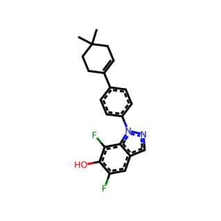 CC1(C)CC=C(c2ccc(-n3ncc4cc(F)c(O)c(F)c43)cc2)CC1